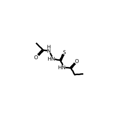 CCC(=O)NC(=S)NNC(C)=O